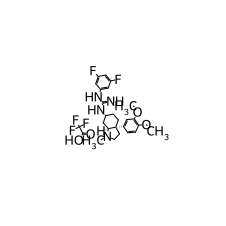 COc1ccc([C@@]23CC[C@@H](NC(=N)Nc4cc(F)cc(F)c4)C[C@@H]2N(C)CC3)cc1OC.O=C(O)C(F)(F)F